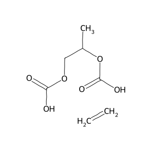 C=C.CC(COC(=O)O)OC(=O)O